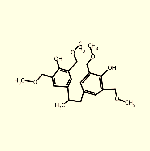 COCc1cc(CC(C)c2cc(COC)c(O)c(COC)c2)cc(COC)c1O